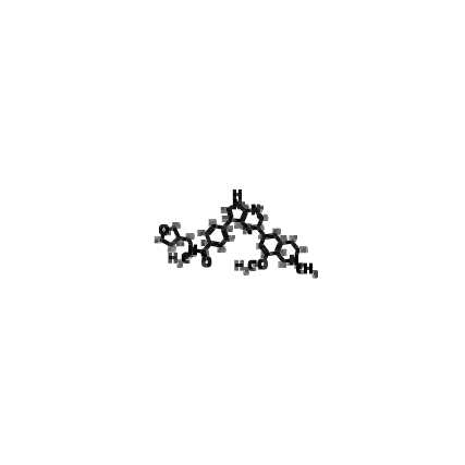 COc1cc(-c2cnc3[nH]cc(-c4ccc(C(=O)N(C)CC5CCOC5)cc4)c3n2)cc2c1CN(C)CC2